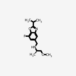 COC[C@@H](C)NCc1cc(F)c2oc(C(C)C)nc2c1